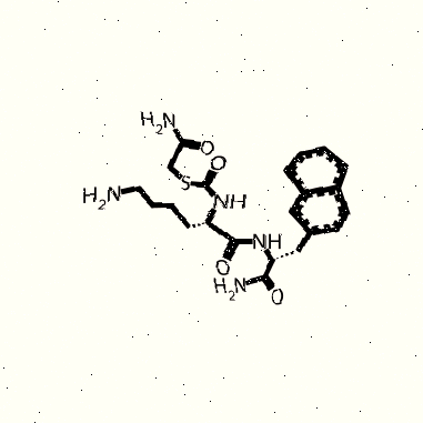 NCCCC[C@H](NC(=O)SCC(N)=O)C(=O)N[C@H](Cc1ccc2ccccc2c1)C(N)=O